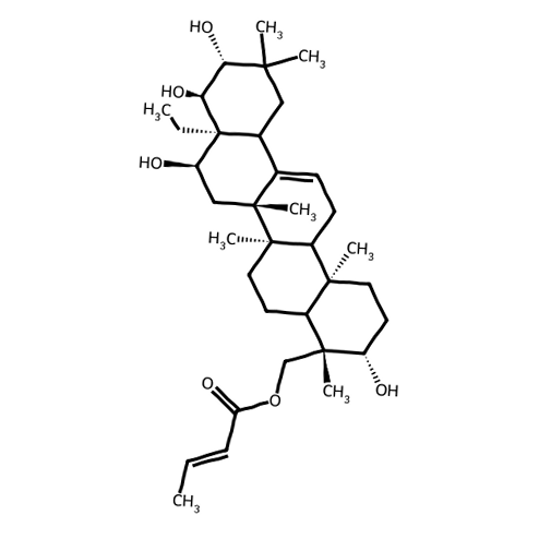 C/C=C/C(=O)OC[C@]1(C)C2CC[C@]3(C)C(CC=C4C5CC(C)(C)[C@@H](O)[C@H](O)[C@]5(CC)[C@H](O)C[C@]43C)[C@@]2(C)CC[C@@H]1O